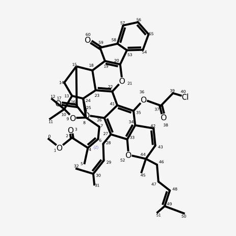 COC(=O)/C(C)=C\CC12OC(C)(C)C3CC(C1=O)C1C4=C(OC5=C1C32Oc1c(CC=C(C)C)c2c(c(OC(=O)CCl)c15)C=CC(C)(CCC=C(C)C)O2)c1ccccc1C4=O